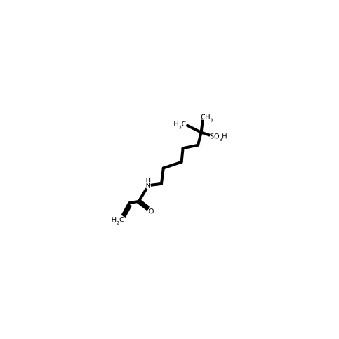 C=CC(=O)NCCCC[CH]C(C)(C)S(=O)(=O)O